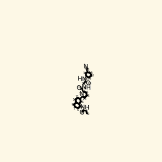 C=CC(=O)Nc1cccc2ccc(-c3cccc(C(=O)NCC(=O)Nc4cccc(C#N)c4)n3)cc12